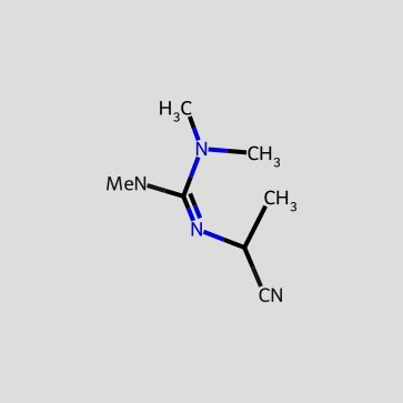 CNC(=NC(C)C#N)N(C)C